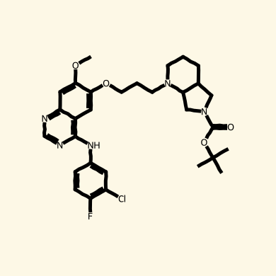 COc1cc2ncnc(Nc3ccc(F)c(Cl)c3)c2cc1OCCCN1CCCC2CN(C(=O)OC(C)(C)C)CC21